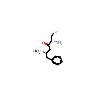 CC(C)C[C@H](N)C(=O)C[C@@H](Cc1ccccc1)C(=O)O